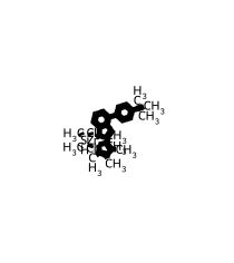 CC1=Cc2c(-c3ccc(C(C)(C)C)cc3)cccc2[CH]1[Zr]([Cl])([Cl])([CH]1C(C)=C(C)C(C)=C1C)[SiH](C)C